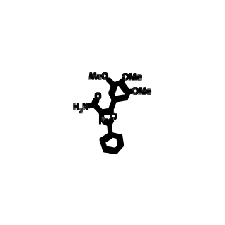 COc1cc(-c2oc(-c3ccccc3)nc2C(N)=O)cc(OC)c1OC